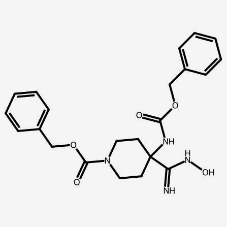 N=C(NO)C1(NC(=O)OCc2ccccc2)CCN(C(=O)OCc2ccccc2)CC1